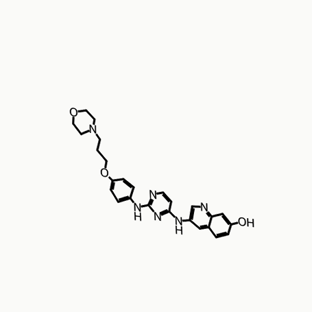 Oc1ccc2cc(Nc3ccnc(Nc4ccc(OCCCN5CCOCC5)cc4)n3)cnc2c1